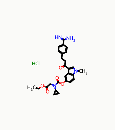 CCOC(=O)CN(C(=O)Oc1ccc2c(c1)c(C(=O)CCc1ccc(C(=N)N)cc1)cn2C)C1CC1.Cl